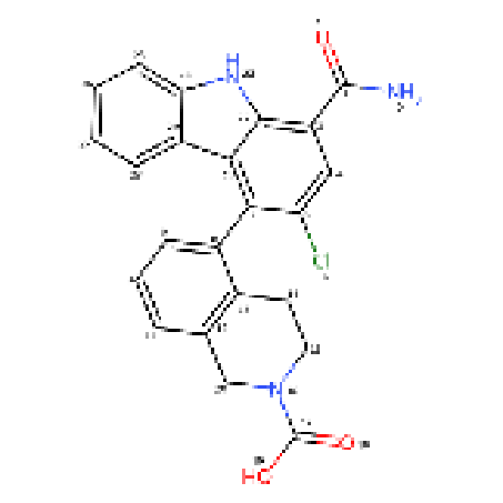 NC(=O)c1cc(Cl)c(-c2cccc3c2CCN(C(=O)O)C3)c2c1[nH]c1ccccc12